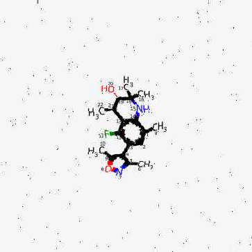 Cc1cc(-c2c(C)noc2C)c(F)c2c1NC(C)(C)[C@@H](O)[C@@H]2C